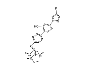 C[C@@]12CC[C@@](C)(N1)[C@@H](F)[C@@H](Oc1ccc(-c3ccc(-n4cc(F)cn4)cc3O)nn1)C2